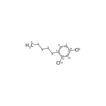 CCCCCc1ccc(Cl)cc1Cl